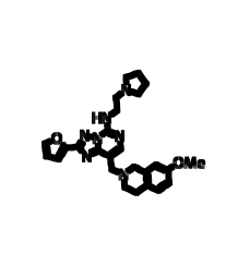 COc1ccc2c(c1)CN(Cc1cnc(NCCN3CCCC3)n3nc(-c4ccco4)nc13)CC2